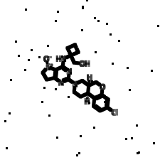 [O-][S@+]1CCc2nc(N3CC[C@@H]4c5ccc(Cl)cc5OC[C@H]4C3)nc(NC3(CO)CCC3)c21